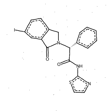 O=C(Nc1nccs1)[C@@H](c1ccccc1)N1Cc2ccc(I)cc2C1=O